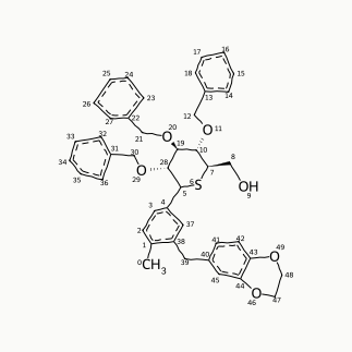 Cc1ccc(C2S[C@H](CO)[C@@H](OCc3ccccc3)[C@H](OCc3ccccc3)[C@H]2OCc2ccccc2)cc1Cc1ccc2c(c1)OCCO2